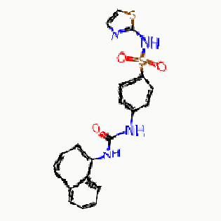 O=C(Nc1ccc(S(=O)(=O)Nc2nccs2)cc1)Nc1cccc2ccccc12